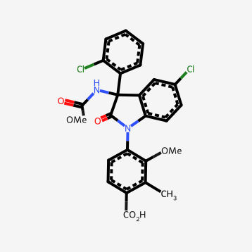 COC(=O)NC1(c2ccccc2Cl)C(=O)N(c2ccc(C(=O)O)c(C)c2OC)c2ccc(Cl)cc21